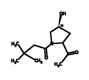 CC(=O)C1C[C@@H](O)CN1C(=O)CC(C)(C)C